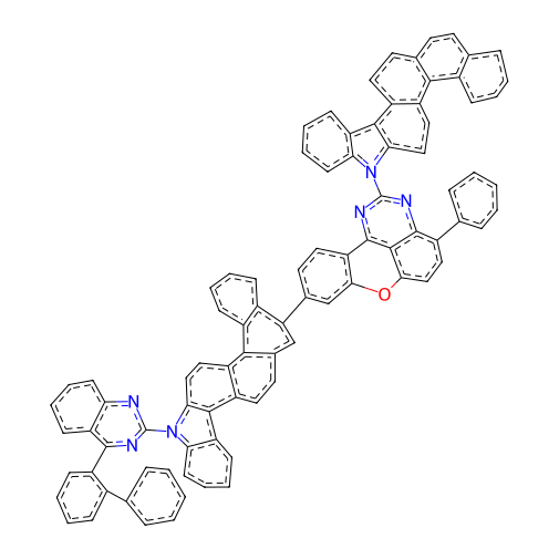 c1ccc(-c2ccccc2-c2nc(-n3c4ccccc4c4c5ccc6cc(-c7ccc8c(c7)Oc7ccc(-c9ccccc9)c9nc(-n%10c%11ccccc%11c%11c%12ccc%13ccc%14ccccc%14c%13c%12ccc%11%10)nc-8c79)c7ccccc7c6c5ccc43)nc3ccccc23)cc1